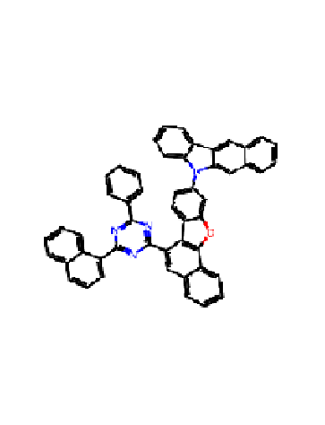 c1ccc(-c2nc(-c3cccc4ccccc34)nc(-c3cc4ccccc4c4oc5cc(-n6c7ccccc7c7cc8ccccc8cc76)ccc5c34)n2)cc1